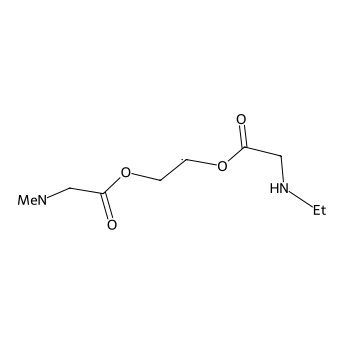 CCNCC(=O)O[CH]COC(=O)CNC